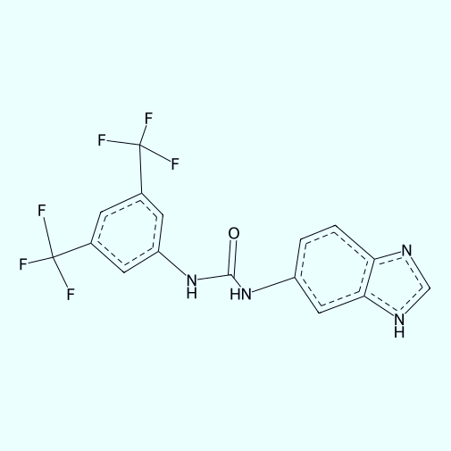 O=C(Nc1cc(C(F)(F)F)cc(C(F)(F)F)c1)Nc1ccc2nc[nH]c2c1